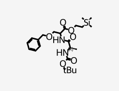 C[C@@H](NC(=O)OC(C)(C)C)C(=O)NC(COCc1ccccc1)C(=O)OCC[Si](C)(C)C